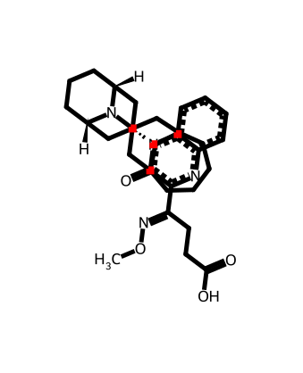 CO/N=C(\CCC(=O)O)c1nc2ccccc2n([C@H]2C[C@H]3CCC[C@@H](C2)N3C2CC3CCCCC(C3)C2)c1=O